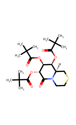 CC(C)(C)C(=O)O[C@@H]1[C@H](OC(=O)C(C)(C)C)[C@@H](OC(=O)C(C)(C)C)C(=O)N2CCSC[C@H]12